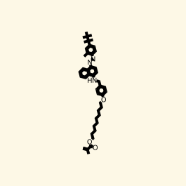 C=C(C)C(=O)OCCCCCCCCCCOc1ccc(CNc2ccc(/N=N/c3ccc(C(C)(C)C(C)(C)C)cc3C)c3ccccc23)cc1